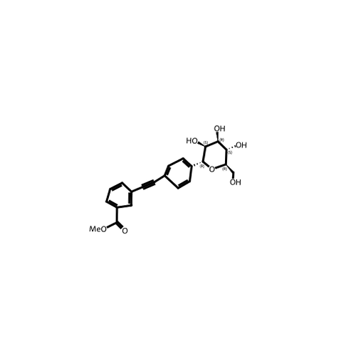 COC(=O)c1cccc(C#Cc2ccc([C@H]3O[C@H](CO)[C@@H](O)[C@H](O)[C@@H]3O)cc2)c1